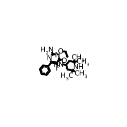 CC1(C)CC(NC23OCCON2C(N)=NC(c2ccccc2)=C3F)CC(C)(C)N1